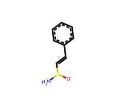 N[S+]([O-])/C=C/c1ccccc1